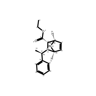 CCOC(=O)[C@@H]1[C@H]2C=C[C@H](N2)N1[C@H](C)c1ccccc1